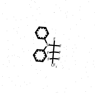 FC(F)(F)C(F)(F)C(F)(F)C(F)(F)[S+](c1ccccc1)c1ccccc1